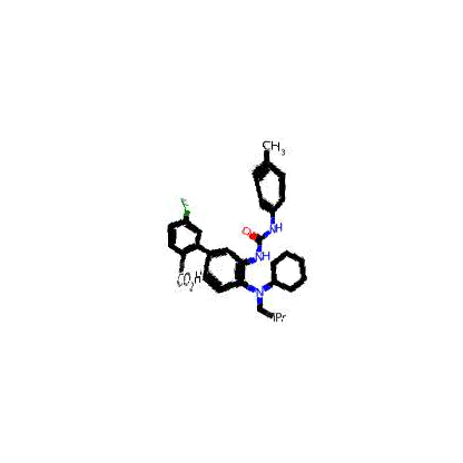 Cc1ccc(NC(=O)Nc2cc(-c3cc(F)ccc3C(=O)O)ccc2N(CC(C)C)C2CCCCC2)cc1